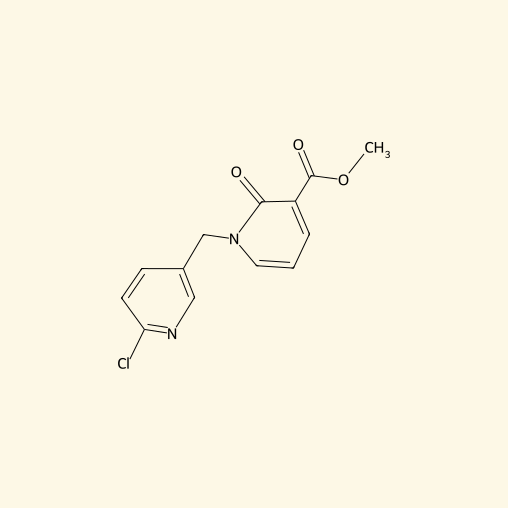 COC(=O)c1cccn(Cc2ccc(Cl)nc2)c1=O